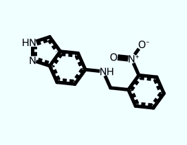 O=[N+]([O-])c1ccccc1CNc1ccc2n[nH]cc2c1